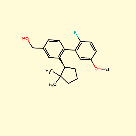 CCOc1ccc(F)c(-c2ccc(CO)cc2[C@H]2CCCC2(C)C)c1